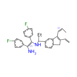 C=CC1=C(/C=C\C)c2cc(C(CC)N/C(=C(\N)c3ccc(F)cc3)c3ccc(F)cc3)ccc2C1